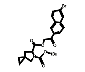 CC(C)(C)OC(=O)N1CC2(CC2)CC1C(=O)OCC(=O)c1ccc2cc(Br)ccc2c1